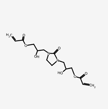 C=CC(=O)OCC(O)CN1CCN(CC(O)COC(=O)C=C)C1=O